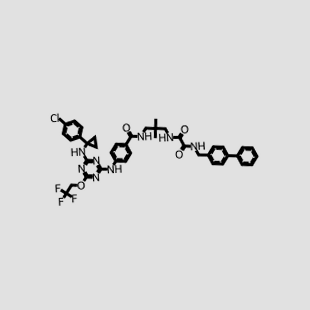 CC(C)(CNC(=O)C(=O)NCc1ccc(-c2ccccc2)cc1)CNC(=O)c1ccc(Nc2nc(NC3(c4ccc(Cl)cc4)CC3)nc(OCC(F)(F)F)n2)cc1